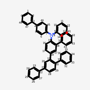 c1ccc(-c2ccc(N(c3ccccc3)c3ccc(-c4cc(-c5ccccc5)ccc4-c4ccccc4)cc3-c3ccccc3)cc2)cc1